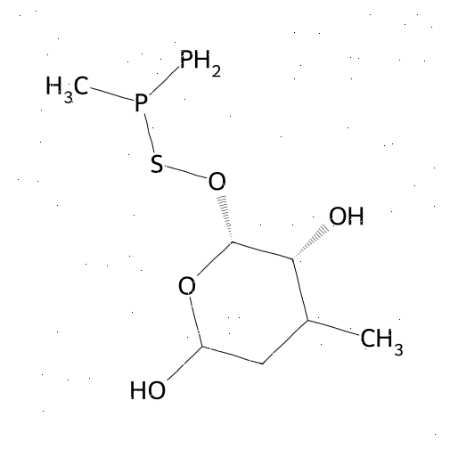 CC1CC(O)O[C@H](OSP(C)P)[C@@H]1O